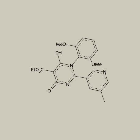 CCOC(=O)c1c(O)n(-c2c(OC)cccc2OC)c(-c2cncc(C)c2)nc1=O